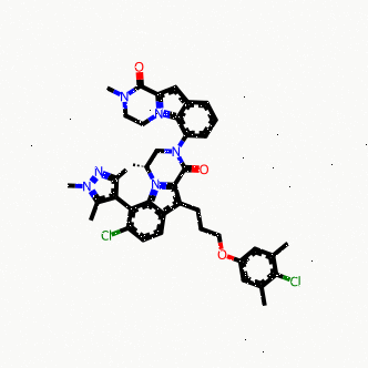 Cc1cc(OCCCc2c3n(c4c(-c5c(C)nn(C)c5C)c(Cl)ccc24)[C@H](C)CN(c2cccc4cc5n(c24)CCN(C)C5=O)C3=O)cc(C)c1Cl